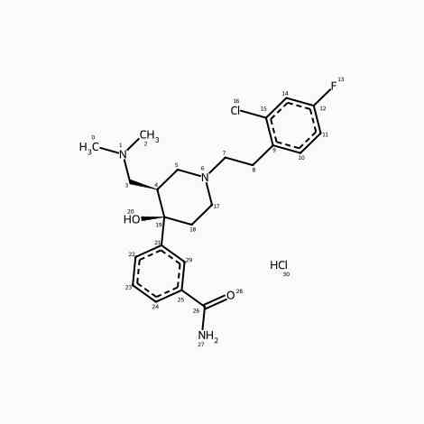 CN(C)C[C@H]1CN(CCc2ccc(F)cc2Cl)CC[C@]1(O)c1cccc(C(N)=O)c1.Cl